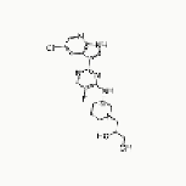 OCC(O)CN1CCC[C@H](Nc2nc(-c3c[nH]c4ncc(Cl)cc34)ncc2F)C1